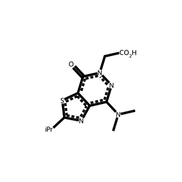 CC(C)c1nc2c(N(C)C)nn(CC(=O)O)c(=O)c2s1